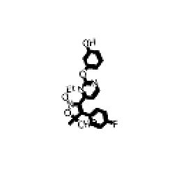 CCON1OC(C)(C=O)C(c2ccc(F)cc2)=C1c1ccnc(Oc2cccc(O)c2)n1